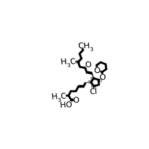 CCCC[C@H](C)CC(=O)C=C[C@@H]1[C@@H](CC=CCCC(C)C(=O)O)[C@H](Cl)C[C@H]1OC1CCCCO1